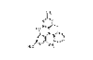 Cc1cc(C)c(N2c3ncccc3Cc3cc(C)cnc32)c(C)c1